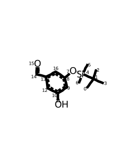 CC(C)(C)[Si](C)(C)Oc1cc(O)cc(C=O)c1